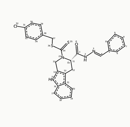 O=C(NN=Cc1ccccc1)[C@@H]1Cc2c([nH]c3ccccc23)CN1C(=S)SCc1ccc(Cl)cc1